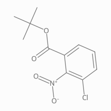 CC(C)(C)OC(=O)c1cccc(Cl)c1[N+](=O)[O-]